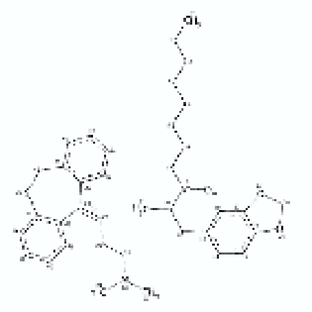 CCCCCCCC[S+]([O-])C(C)Cc1ccc2c(c1)OCO2.CN(C)CC/C=C1/c2ccccc2CSc2ccccc21